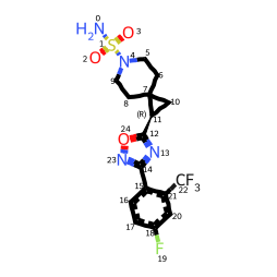 NS(=O)(=O)N1CCC2(CC1)C[C@H]2c1nc(-c2ccc(F)cc2C(F)(F)F)no1